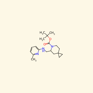 Cc1cccc(NCC2CC3(CCN2C(=O)OC(C)(C)C)CC3)n1